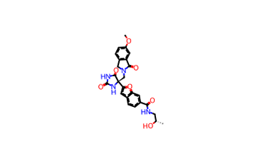 COc1ccc2c(c1)C(=O)N(C[C@@]1(c3cc4ccc(C(=O)NC[C@H](C)O)cc4o3)NC(=O)NC1=O)C2